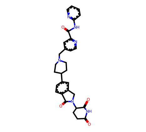 O=C1CCC(N2Cc3cc(C4CCN(Cc5ccnc(C(=O)Nc6ccccn6)c5)CC4)ccc3C2=O)C(=O)N1